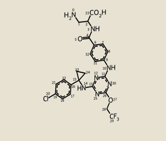 NCC(NC(=O)c1ccc(Nc2nc(NC3(c4ccc(Cl)cc4)CC3)nc(OCC(F)(F)F)n2)cc1)C(=O)O